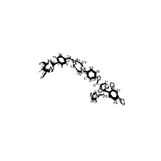 Cc1cc(C)nc(-c2ccc(CN3CCN(c4ccc(OC[C@@H]5CO[C@@](Cn6ccnc6)(c6ccc(Cl)cc6Cl)O5)cc4)CC3)cc2)n1